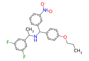 CCCOc1ccc(C(NC(C)c2cc(F)cc(F)c2)c2cccc([N+](=O)[O-])c2)cc1